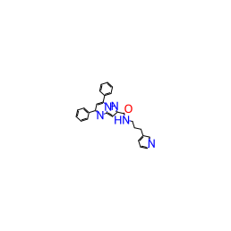 O=C(NCCCc1cccnc1)c1cc2nc(-c3ccccc3)cc(-c3ccccc3)n2n1